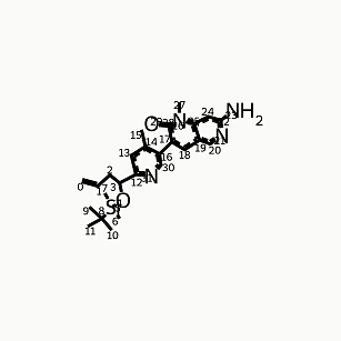 C=CCC(O[Si](C)(C)C(C)(C)C)c1cc(C)c(-c2cc3cnc(N)cc3n(C)c2=O)cn1